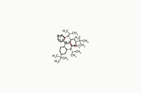 CC(C)P(c1cc(C(C)(C)C)ccc1N(c1ccccc1)c1ccc(C(C)(C)C)cc1P(C(C)C)C(C)C)C(C)C